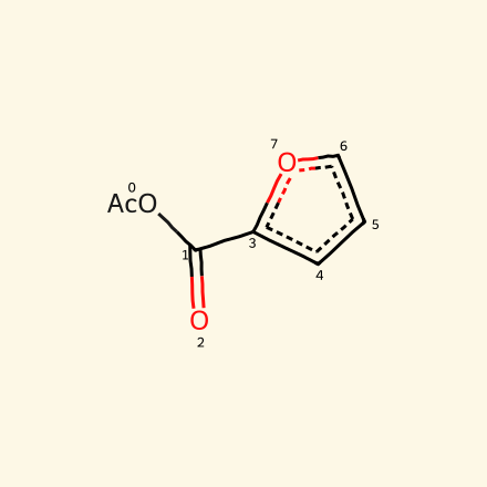 CC(=O)OC(=O)c1ccco1